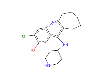 Oc1cc2c(NC3CCNCC3)c3c(nc2cc1Cl)CCCCC3